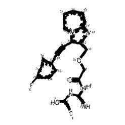 N=C(NC(=O)O)NC(=O)COCc1nc2ccccn2c1C#Cc1ccc(F)cc1